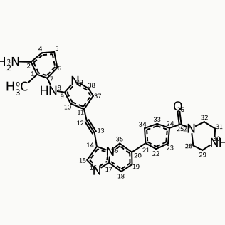 Cc1c(N)cccc1Nc1cc(C#Cc2cnc3ccc(-c4ccc(C(=O)N5CCNCC5)cc4)cn23)ccn1